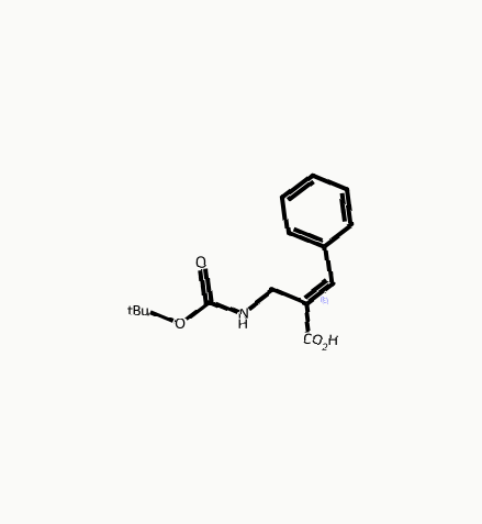 CC(C)(C)OC(=O)NC/C(=C\c1ccccc1)C(=O)O